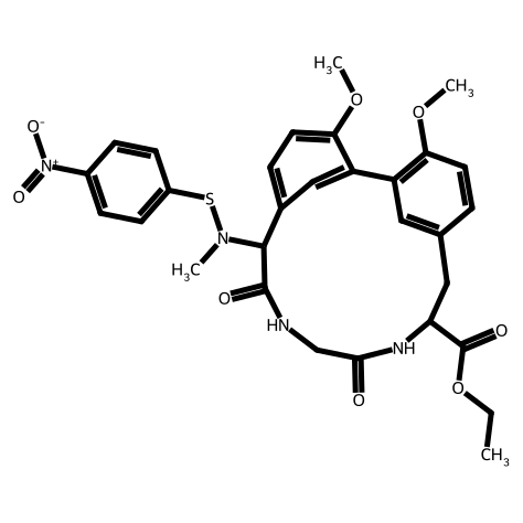 CCOC(=O)C1Cc2ccc(OC)c(c2)-c2cc(ccc2OC)C(N(C)Sc2ccc([N+](=O)[O-])cc2)C(=O)NCC(=O)N1